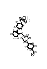 CS(=O)(=O)c1ccc(-c2ccccc2CN2CCN(c3ccc(C=O)cc3)CC2)cc1